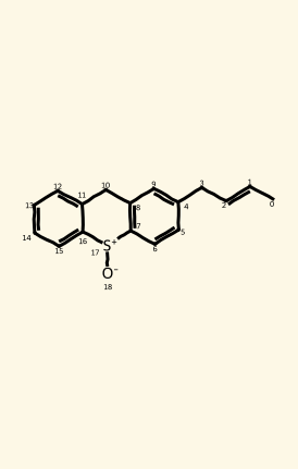 CC=CCc1ccc2c(c1)Cc1ccccc1[S+]2[O-]